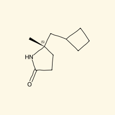 C[C@@]1(CC2CCC2)CCC(=O)N1